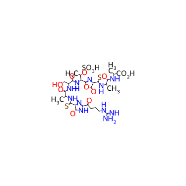 CC(NC(=O)C(C)NC(=S)C1N=C(C(NC(=O)C(CO)NC(=O)C(C)NC(=S)C2N=C(C(=O)CCCNC(=N)N)NC2=O)C(C)OS(=O)(=O)O)OC1=O)C(=O)O